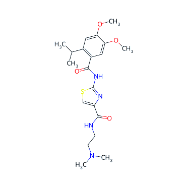 COc1cc(C(=O)Nc2nc(C(=O)NCCN(C)C)cs2)c(C(C)C)cc1OC